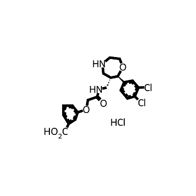 Cl.O=C(COc1cccc(C(=O)O)c1)NC[C@@H]1CNCCO[C@H]1c1ccc(Cl)c(Cl)c1